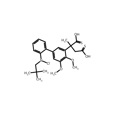 COc1cc(-c2ccccc2N(Cl)CC(C)(C)C)cc(C(C)(CC(O)=S)C(O)=S)c1OC